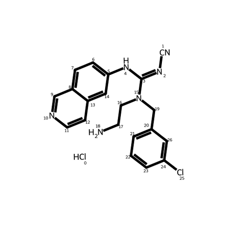 Cl.N#C/N=C(\Nc1ccc2cnccc2c1)N(CCN)Cc1cccc(Cl)c1